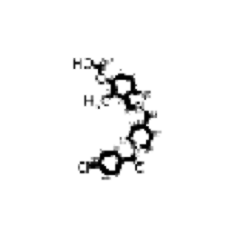 Cc1c(OC(=O)O)ccc2nn(CC3CCN(C(=O)c4ccc(Cl)cc4)CC3)cc12